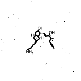 CC#CC[C@H](C)[C@H](O)C=C[C@@H]1[C@H]2CC(=CCCCN)C[C@H]2C[C@H]1O